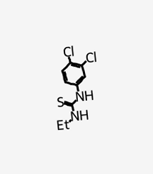 CCNC(=S)Nc1ccc(Cl)c(Cl)c1